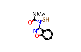 CNC(=O)N(S)c1noc2ccccc12